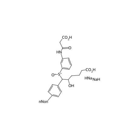 CCCCCCCCCc1ccc(C(C(O)CCCC(=O)O)[S+]([O-])c2cccc(NC(=O)CC(=O)O)c2)cc1.[NaH].[NaH]